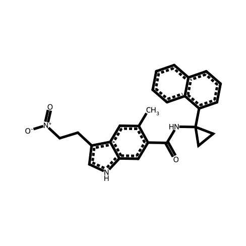 Cc1cc2c(CC[N+](=O)[O-])c[nH]c2cc1C(=O)NC1(c2cccc3ccccc23)CC1